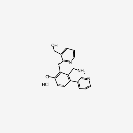 Cl.NCc1c(-c2cccnc2)ccc(Cl)c1Sc1ncccc1CO